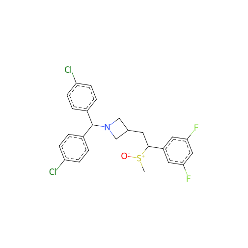 C[S+]([O-])C(CC1CN(C(c2ccc(Cl)cc2)c2ccc(Cl)cc2)C1)c1cc(F)cc(F)c1